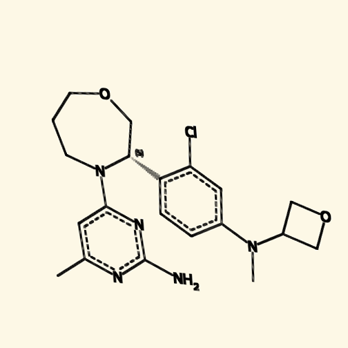 Cc1cc(N2CCCOC[C@@H]2c2ccc(N(C)C3COC3)cc2Cl)nc(N)n1